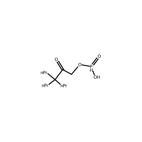 CCCC(CCC)(CCC)C(=O)CO[PH](=O)O